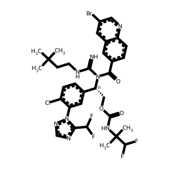 CC(C)(C)CCNC(=N)N(C(=O)c1ccc2ncc(Br)cc2c1)[C@H](COC(=O)NC(C)(C)C(F)F)c1ccc(Cl)c(-n2ncnc2C(F)F)c1